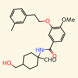 COc1ccc(C(=O)NC2(C=O)CCC(CO)CC2)cc1OCCc1cccc(C)c1